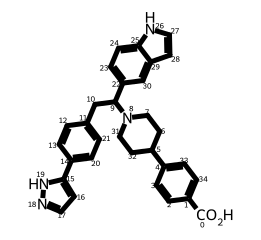 O=C(O)c1ccc(C2CCN(C(Cc3ccc(-c4ccn[nH]4)cc3)c3ccc4[nH]ccc4c3)CC2)cc1